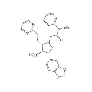 CCCCN(C(=O)CN1C[C@H](c2ccc3c(c2)OCO3)[C@@H](C(=O)O)[C@@H]1CCc1ncccn1)c1cccnc1